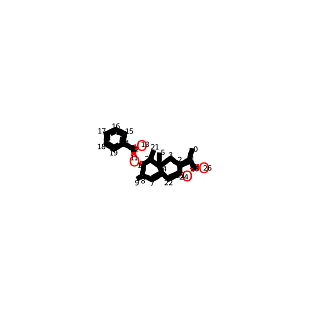 CC1=C2CC3(C)C(=CC(C)C(OC(=O)c4ccccc4)C3C)C=C2OC1=O